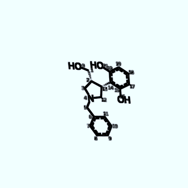 OC[C@H]1CN(Cc2ccccc2)C[C@H]1c1c(O)cccc1O